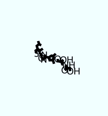 Cc1cc(-c2noc(-c3scc(CC(C)C)c3C)n2)cc(C)c1OCC(O)CNC(=O)CO